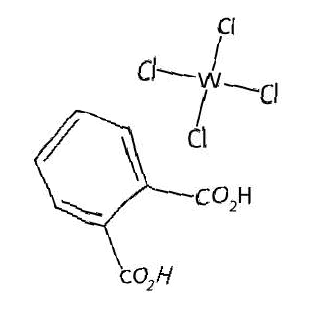 O=C(O)c1ccccc1C(=O)O.[Cl][W]([Cl])([Cl])[Cl]